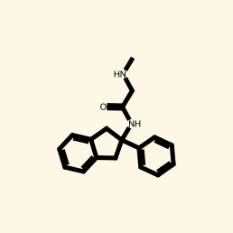 CNCC(=O)NC1(c2ccccc2)Cc2ccccc2C1